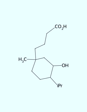 CC(C)C1CCC(C)(CCCC(=O)O)CC1O